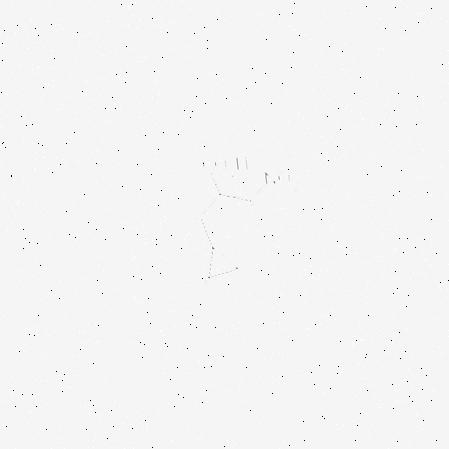 O=C(O)C(CC1CC1)C[N+](=O)[O-]